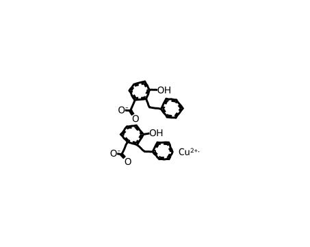 O=C([O-])c1cccc(O)c1Cc1ccccc1.O=C([O-])c1cccc(O)c1Cc1ccccc1.[Cu+2]